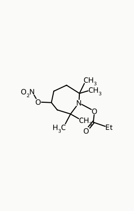 CCC(=O)ON1C(C)(C)CCC(O[N+](=O)[O-])CC1(C)C